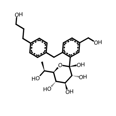 C[C@H](O)[C@H]1O[C@](O)(c2cc(CO)ccc2Cc2ccc(CCCO)cc2)[C@H](O)[C@@H](O)[C@@H]1O